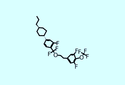 CCC[C@H]1CC[C@H](c2ccc(C(F)(F)OCCc3cc(F)c(OC(F)(F)F)c(F)c3)c(F)c2)CC1